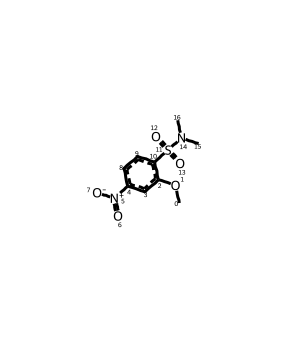 COc1cc([N+](=O)[O-])ccc1S(=O)(=O)N(C)C